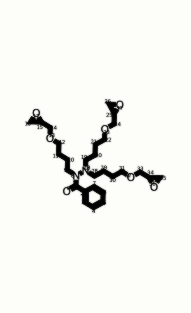 O=C(c1ccccc1)N(CCCCOCC1CO1)N(CCCCOCC1CO1)CCCCOCC1CO1